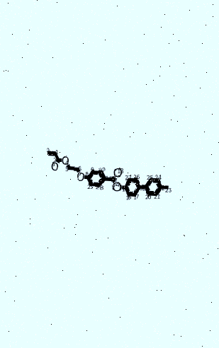 C=CC(=O)OCCOc1ccc(C(=O)Oc2ccc(-c3ccc(C)cc3)cc2)cc1